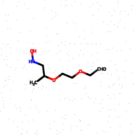 CC(CNO)OCCOCC=O